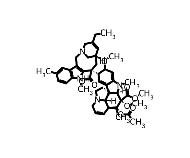 CCC1=C[C@H]2CN(C1)Cc1c([nH]c3ccc(C)cc13)[C@@](C(=O)OC)(C1C=C3C(=CC1OC)N(C)[C@@H]1[C@]34CCN3CC=C[C@@](CC)([C@@H](OC(C)=O)[C@]1(OC)C(=O)OC)[C@H]34)C2